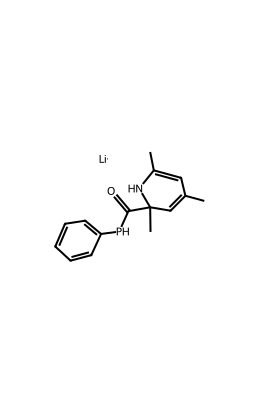 CC1=CC(C)(C(=O)Pc2ccccc2)NC(C)=C1.[Li]